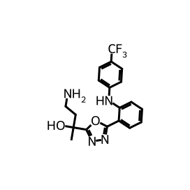 CC(O)(CCN)c1nnc(-c2ccccc2Nc2ccc(C(F)(F)F)cc2)o1